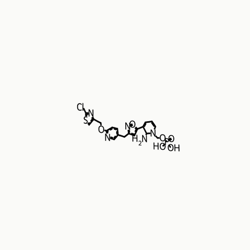 NC1C(c2cc(Cc3ccc(OCc4csc(Cl)n4)nc3)no2)=CC=CN1COP(=O)(O)O